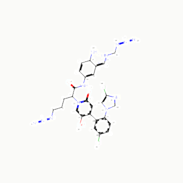 [N-]=[N+]=NCCCC(C(=O)NC1=C/C(=C/NCN=[N+]=[N-])C(N)C=C1)n1cc(O)c(-c2cc(Cl)ccc2N2C=C(Cl)NC2)cc1=O